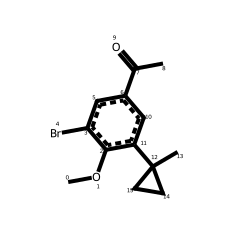 COc1c(Br)cc(C(C)=O)cc1C1(C)CC1